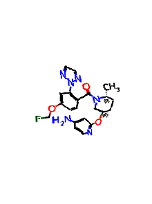 C[C@@H]1CC[C@@H](Oc2cc(N)ccn2)CN1C(=O)c1ccc(OCF)cc1-n1nccn1